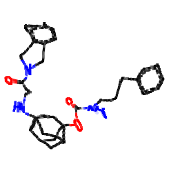 O=C(NCCCc1ccccc1)OC12CC3CC1CC(NCC(=O)N1Cc4ccccc4C1)(C3)C2